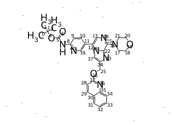 CC(C)(C)OC(=O)Nc1ccc(-c2cnc(N3CCOCC3)c3nc(COc4ccc5ccccc5n4)cn23)cn1